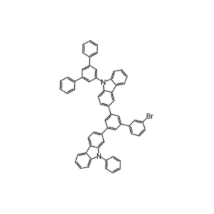 Brc1cccc(-c2cc(-c3ccc4c(c3)c3ccccc3n4-c3cc(-c4ccccc4)cc(-c4ccccc4)c3)cc(-c3ccc4c5ccccc5n(-c5ccccc5)c4c3)c2)c1